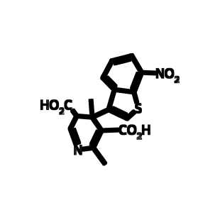 CC1=C(C(=O)O)C(C)(c2csc3c([N+](=O)[O-])cccc23)C(C(=O)O)C=N1